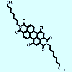 CCCCCCCCN1C(=O)c2ccc3c4c(Cl)cc5c6c(cc(Cl)c(c7ccc(c2c37)C1=O)c64)C(=O)N(CCCCCCCC)C5=O